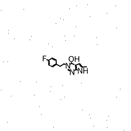 Cc1cc2c([nH]1)N=CN(CCc1ccc(F)cc1)C2O